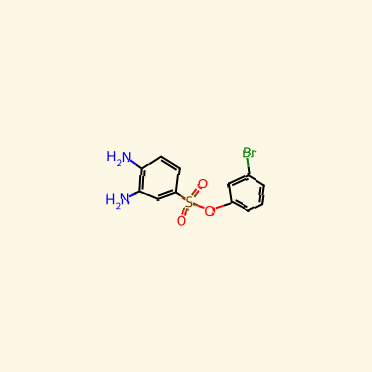 Nc1ccc(S(=O)(=O)Oc2cccc(Br)c2)cc1N